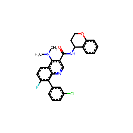 CN(C)c1c(C(=O)NC2CCOc3ccccc32)cnc2c(-c3cccc(Cl)c3)c(F)ccc12